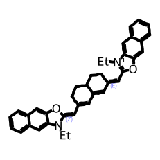 CCN1/C(=C/C2=CC3=C/C(=C/c4oc5cc6ccccc6cc5[n+]4CC)CCC3CC2)Oc2cc3ccccc3cc21